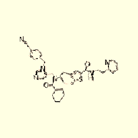 N#Cc1ccc(Cn2cncc2CN(C(=O)C2CCCCC2)c2ccc3sc(C(=O)NCCc4ccccn4)cc3c2)cc1